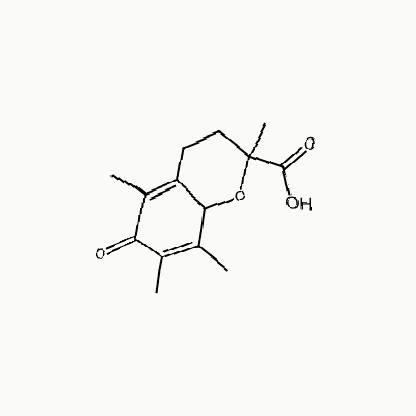 CC1=C(C)C2OC(C)(C(=O)O)CCC2=C(C)C1=O